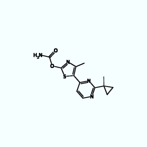 Cc1nc(OC(N)=O)sc1-c1ccnc(C2(C)CC2)n1